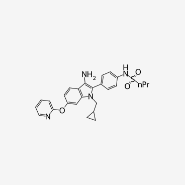 CCCS(=O)(=O)Nc1ccc(-c2c(N)c3ccc(Oc4ccccn4)cc3n2CC2CC2)cc1